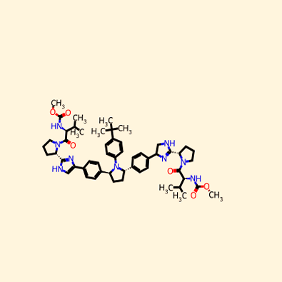 COC(=O)N[C@H](C(=O)N1CCC[C@H]1C1=NC(c2ccc([C@@H]3CC[C@@H](c4ccc(-c5c[nH]c([C@@H]6CCCN6C(=O)[C@@H](NC(=O)OC)C(C)C)n5)cc4)N3c3ccc(C(C)(C)C)cc3)cc2)CN1)C(C)C